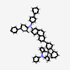 CC1CC(c2ccccc2)=CC=C1N(c1ccc(-c2ccccc2)cc1)c1ccc2c(ccc3cc(-c4ccc5c(c4)C4(c6ccccc6-5)c5ccccc5N(c5ccccc5)c5ccccc54)ccc32)c1